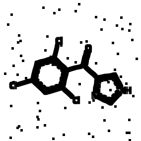 O=C(c1c[nH]cn1)c1c(Cl)cc(Cl)cc1Cl